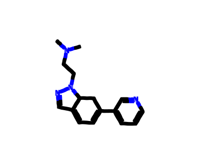 CN(C)CCN1N=CC2=CC=C(c3cccnc3)CC21